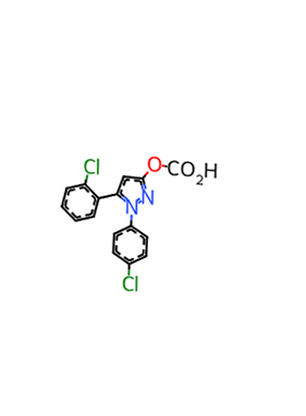 O=C(O)Oc1cc(-c2ccccc2Cl)n(-c2ccc(Cl)cc2)n1